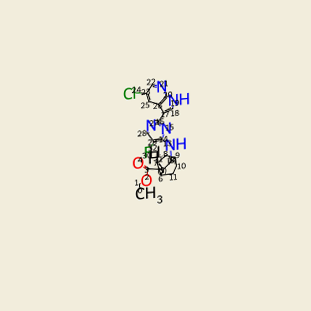 CCOC(=O)[C@H]1C2CCC(CC2)[C@@H]1Nc1nc(-c2c[nH]c3ncc(Cl)cc23)ncc1F